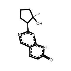 C[C@@]1(O)CCC[C@@H]1c1ncc2ccc(=O)[nH]c2n1